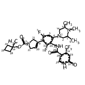 CC1CN(c2cc(F)c(C3=CCN(C(=O)OC4(C)CCC4)C3)c(F)c2NC(=O)c2c[nH]c(=O)cc2C(F)(F)F)CC(C)N1C